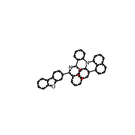 c1ccc(N2c3ccccc3-c3cccc4cccc2c34)c(-c2nc(-c3ccc4c(c3)oc3ccccc34)c3ccccc3n2)c1